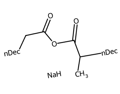 CCCCCCCCCCCC(=O)OC(=O)C(C)CCCCCCCCCC.[NaH]